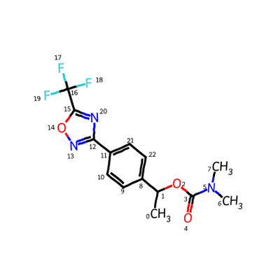 CC(OC(=O)N(C)C)c1ccc(-c2noc(C(F)(F)F)n2)cc1